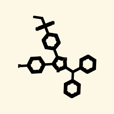 CCS(=O)(=O)c1ccc(-c2oc(C(c3ccccc3)c3ccccc3)nc2-c2ccc(F)cc2)cc1